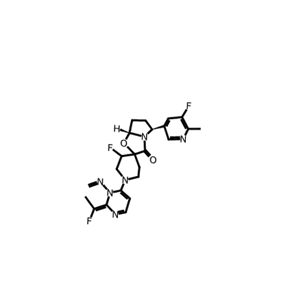 C=NN1C(N2CCC3(O[C@@H]4CC[C@@H](c5cnc(C)c(F)c5)N4C3=O)C(F)C2)=CC=N/C1=C(/C)F